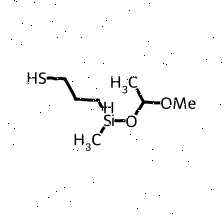 COC(C)O[SiH](C)CCCS